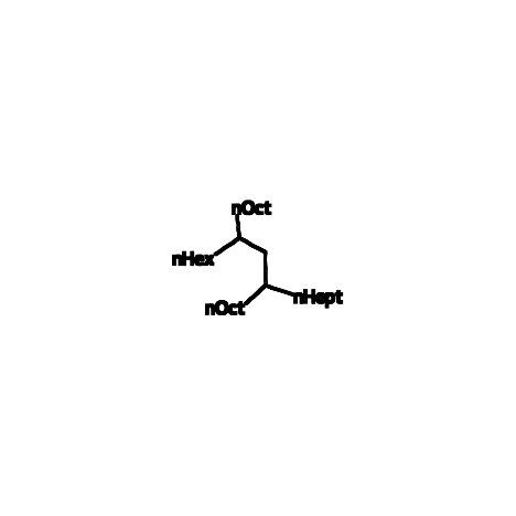 CCCCCCCCC(CCCCCC)CC(CCCCCCC)CCCCCCCC